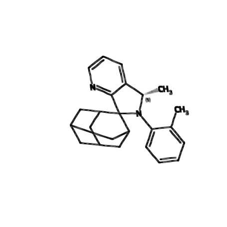 Cc1ccccc1N1[C@@H](C)c2cccnc2C12C1CC3CC(C1)CC2C3